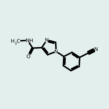 CNC(=O)c1cn(-c2cccc(C#N)c2)cn1